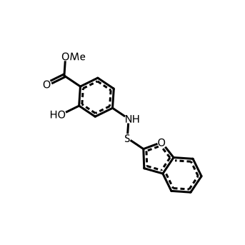 COC(=O)c1ccc(NSc2cc3ccccc3o2)cc1O